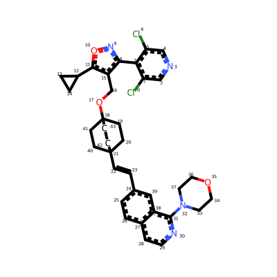 Clc1cncc(Cl)c1-c1noc(C2CC2)c1COC12CCC(/C=C/c3ccc4ccnc(N5CCOCC5)c4c3)(CC1)CC2